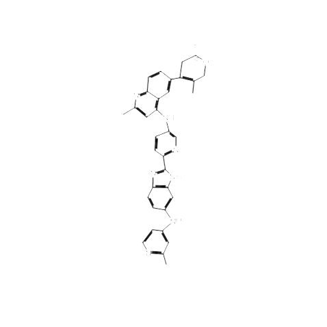 CC1=C(c2ccc3nc(C)cc(Nc4ccc(-c5nc6ccc(Nc7ccnc(C)c7)cc6[nH]5)nc4)c3c2)C[C@H](C)OC1